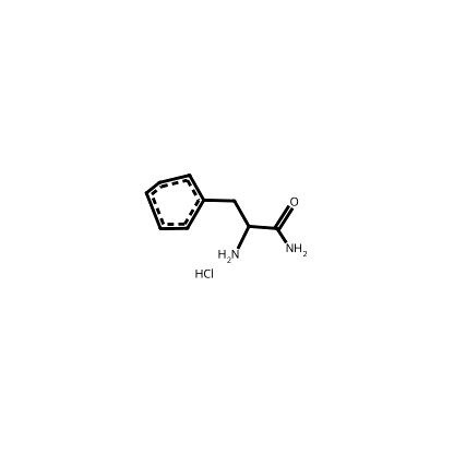 Cl.NC(=O)C(N)Cc1ccccc1